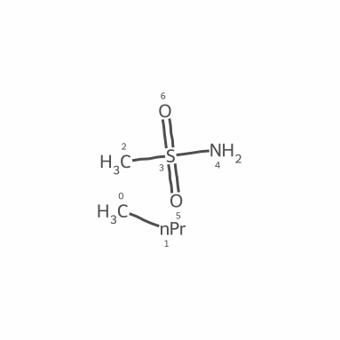 CCCC.CS(N)(=O)=O